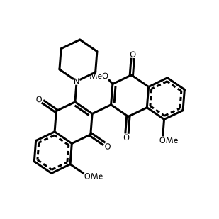 COC1=C(C2=C(N3CCCCC3)C(=O)c3cccc(OC)c3C2=O)C(=O)c2c(OC)cccc2C1=O